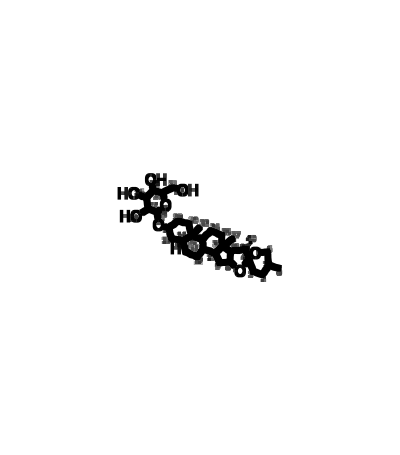 CC1CCC2(OC1)OC1CC3C4CC[C@@H]5CC(OC6OC(CO)C(O)C(O)C6O)CCC5(C)C4CCC3(C)C1[C@@H]2C